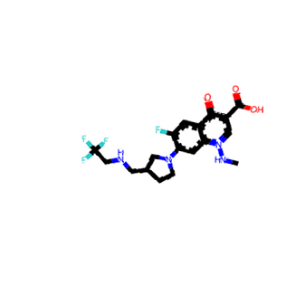 CNn1cc(C(=O)O)c(=O)c2cc(F)c(N3CCC(CNCC(F)(F)F)C3)cc21